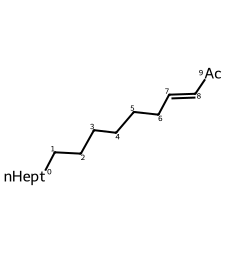 CCCCCCCCCCCCC/C=C/C(C)=O